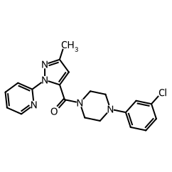 Cc1cc(C(=O)N2CCN(c3cccc(Cl)c3)CC2)n(-c2ccccn2)n1